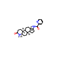 CN1C(=O)CC[C@]2(C)[C@H]3CC[C@]4(C)C(NC(=O)c5ccccn5)CC[C@H]4[C@@H]3CC[C@@H]12